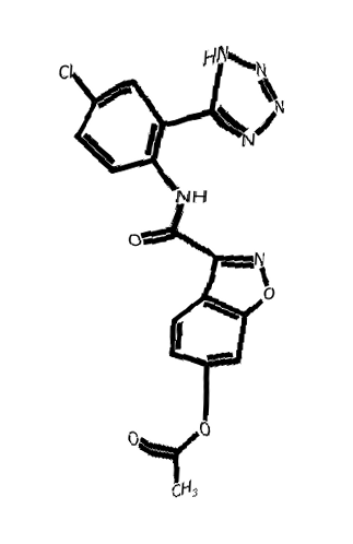 CC(=O)Oc1ccc2c(C(=O)Nc3ccc(Cl)cc3-c3nnn[nH]3)noc2c1